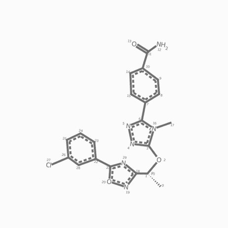 C[C@@H](Oc1nnc(-c2ccc(C(N)=O)cc2)n1C)c1noc(-c2cccc(Cl)c2)n1